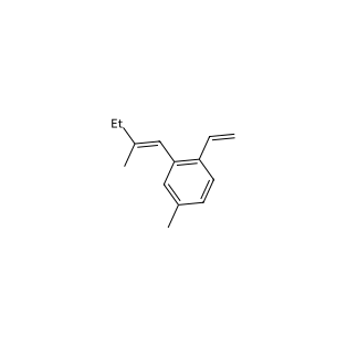 C=Cc1ccc(C)cc1/C=C(\C)CC